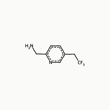 NCc1ccc(CC(F)(F)F)cn1